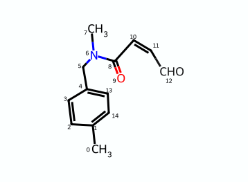 Cc1ccc(CN(C)C(=O)/C=C\C=O)cc1